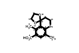 Cc1cc(C(=O)O)c(C)c2c1SCCC21OCCO1